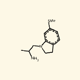 CSc1ccc2c(c1)N(CC(C)N)CC2